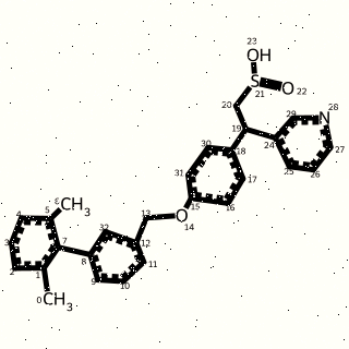 Cc1cccc(C)c1-c1cccc(COc2ccc(C(CS(=O)O)c3cccnc3)cc2)c1